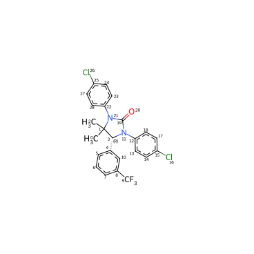 CC1(C)[C@@H](c2cccc(C(F)(F)F)c2)N(c2ccc(Cl)cc2)C(=O)N1c1ccc(Cl)cc1